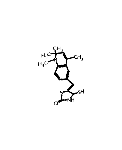 CC1=CC(C)(C)N(C)c2ccc(/C=C3\SC(=O)NC3S)cc21